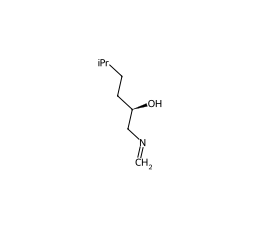 C=NC[C@H](O)CCC(C)C